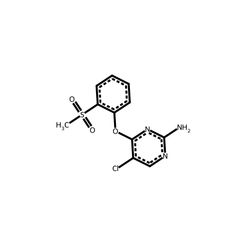 CS(=O)(=O)c1ccccc1Oc1nc(N)ncc1Cl